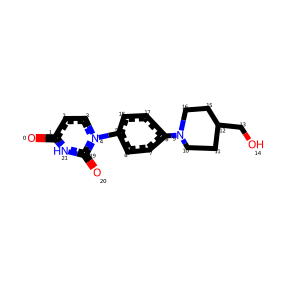 O=c1ccn(-c2ccc(N3CCC(CO)CC3)cc2)c(=O)[nH]1